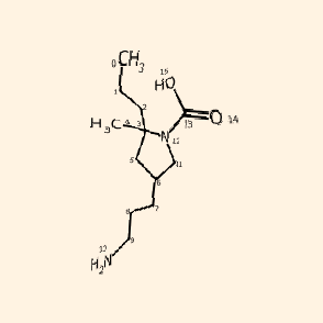 CCCC1(C)CC(CCCN)CN1C(=O)O